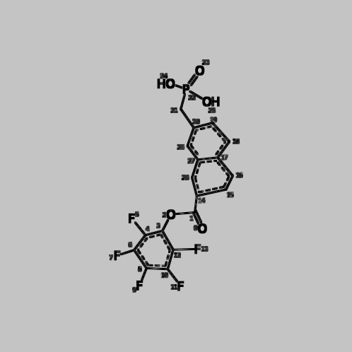 O=C(Oc1c(F)c(F)c(F)c(F)c1F)c1ccc2ccc(CP(=O)(O)O)cc2c1